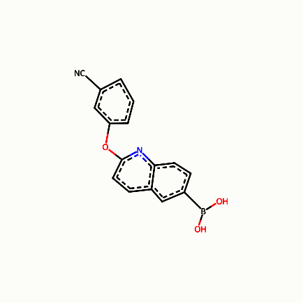 N#Cc1cccc(Oc2ccc3cc(B(O)O)ccc3n2)c1